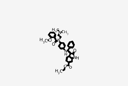 CCOC(=O)c1ccc2c(c1)NC(=O)C2=C(Nc1ccc(N(CCN(C)C)C(=O)c2ccccc2OC)cc1)c1ccccc1